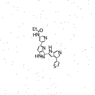 CCC(=O)Nc1cncc(-c2ccc3[nH]nc(-c4cc5c(-c6ccsc6)cncc5[nH]4)c3n2)c1